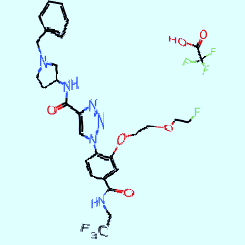 O=C(NCC(F)(F)F)c1ccc(-n2cc(C(=O)NC3CCN(Cc4ccccc4)C3)nn2)c(OCCOCCF)c1.O=C(O)C(F)(F)F